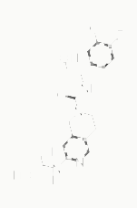 CC(C)Nc1cc2c(cn1)CCN(C(=O)N[C@H](CO)c1ccc(F)c(Cl)c1)C2